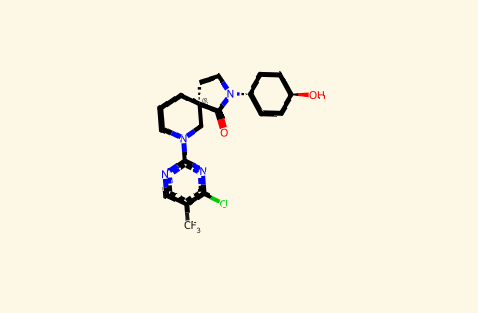 O=C1N([C@H]2CC[C@H](O)CC2)CC[C@]12CCCN(c1ncc(C(F)(F)F)c(Cl)n1)C2